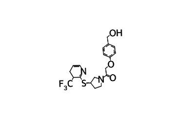 O=C(COc1ccc(CO)cc1)N1CC[C@@H](SC2=NC=CCC2C(F)(F)F)C1